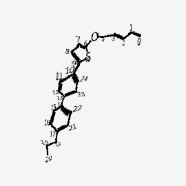 CCC=CCOc1ccc(-c2ccc(-c3ccc(CCC)cc3)cc2)s1